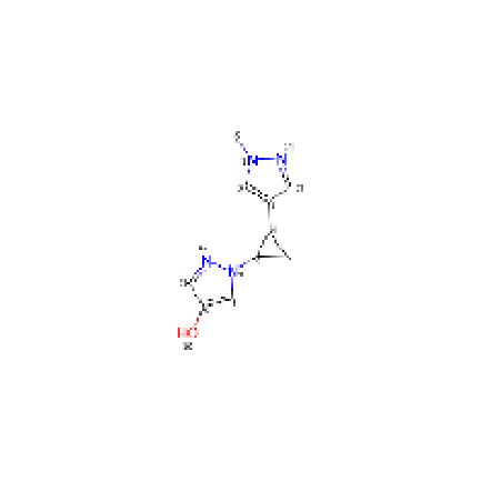 Cn1cc(C2CC2n2cc(O)cn2)cn1